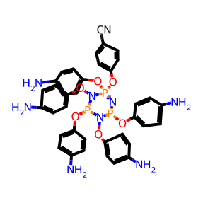 N#Cc1ccc(OP2(Oc3ccc(N)cc3)=NP(Oc3ccc(N)cc3)N(Oc3ccc(N)cc3)P(Oc3ccc(N)cc3)N2Oc2ccc(N)cc2)cc1